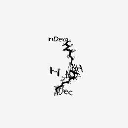 CCCCCCCCCCCCCCCCCCNC(C)(CN)CCCCCCCCCCCCCCCC